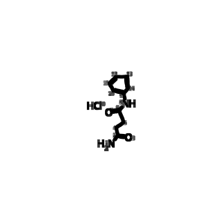 Cl.NC(=O)CCC(=O)Nc1ccccc1